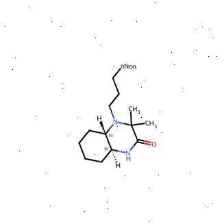 CCCCCCCCCCCCN1[C@H]2CCCC[C@@H]2NC(=O)C1(C)C